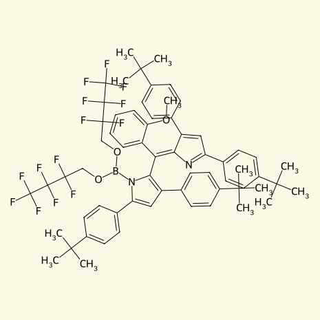 COc1ccccc1/C(=C1/N=C(c2ccc(C(C)(C)C)cc2)C=C1c1ccc(C(C)(C)C)cc1)c1c(-c2ccc(C(C)(C)C)cc2)cc(-c2ccc(C(C)(C)C)cc2)n1B(OCC(F)(F)C(F)(F)C(F)(F)F)OCC(F)(F)C(F)(F)C(F)(F)F